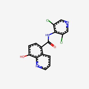 O=C(Nc1c(Cl)cncc1Cl)c1ccc(O)c2ncccc12